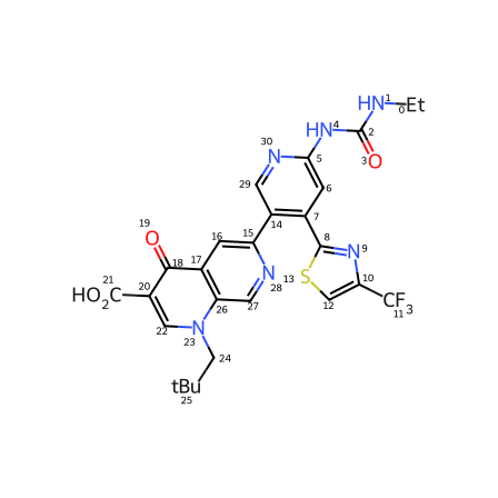 CCNC(=O)Nc1cc(-c2nc(C(F)(F)F)cs2)c(-c2cc3c(=O)c(C(=O)O)cn(CC(C)(C)C)c3cn2)cn1